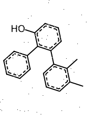 Cc1cccc(-c2cccc(O)c2-c2ccccc2)c1C